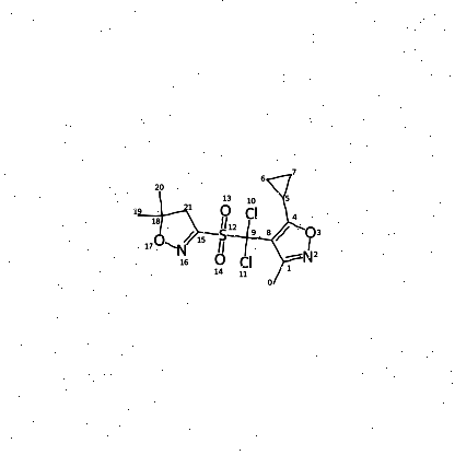 Cc1noc(C2CC2)c1C(Cl)(Cl)S(=O)(=O)C1=NOC(C)(C)C1